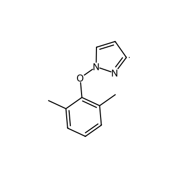 Cc1cccc(C)c1On1cc[c]n1